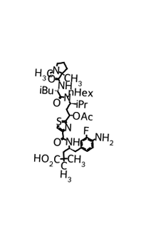 CCCCCCN(C(=O)[C@@H](NC(=O)[C@@]1(C)CCCN1C)[C@@H](C)CC)[C@H](C[C@@H](OC(C)=O)c1nc(C(=O)N[C@@H](Cc2ccc(N)c(F)c2)CC(C)(C)C(=O)O)cs1)C(C)C